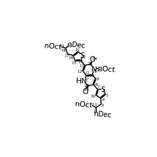 CCCCCCCCCCC(CCCCCCCC)Cc1csc(-c2cc3c(cc(-c4cc(CC(CCCCCCCC)CCCCCCCCCC)cs4)c(=O)n3CCCCCCCC)[nH]c2=O)c1